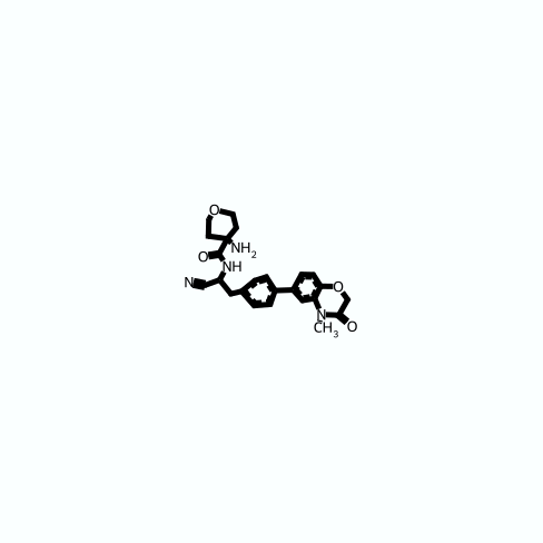 CN1C(=O)COc2ccc(-c3ccc(CC(C#N)NC(=O)C4(N)CCOCC4)cc3)cc21